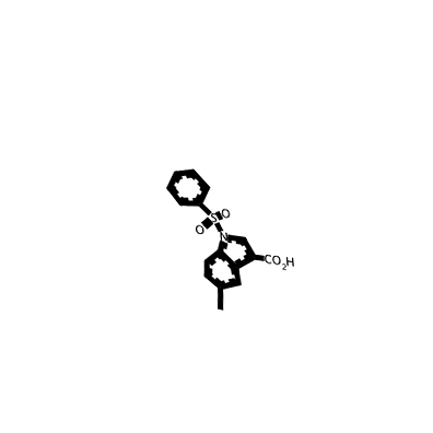 Cc1ccc2c(c1)c(C(=O)O)cn2S(=O)(=O)c1ccccc1